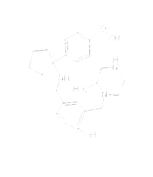 COc1ccc(C2(NCc3ccc(O)c(CN4CCNCC4C)c3)CCCC2)cc1